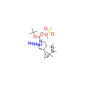 CC([C@H]([C@H](CN=[N+]=[N-])C1CC1)[C@@H](COS(C)(=O)=O)NC(=O)OC(C)(C)C)[SiH](C)C(C)(C)C